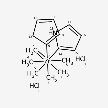 Cl.Cl.[CH2]=[Zr]([CH3])([CH3])([CH3])([CH3])([CH3])([C]1=CC=CC1)[c]1ccc[nH]1